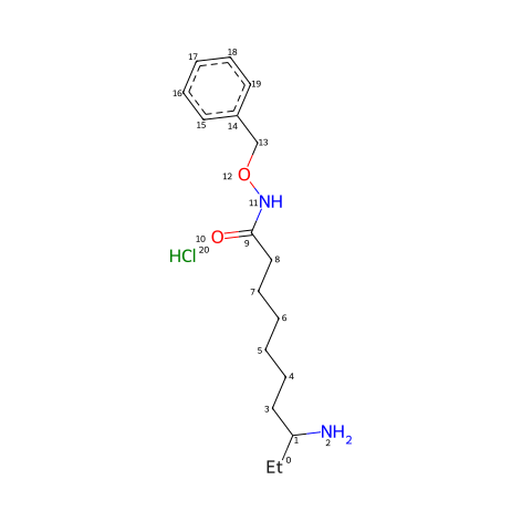 CCC(N)CCCCCCC(=O)NOCc1ccccc1.Cl